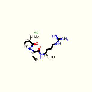 CC(=O)N[C@@H](CC(C)C)C(=O)N[C@@H](CC(C)C)C(=O)N[C@H](C=O)CCCNC(=N)N.Cl